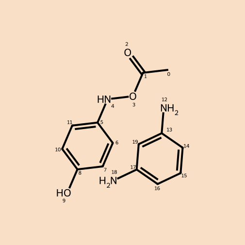 CC(=O)ONc1ccc(O)cc1.Nc1cccc(N)c1